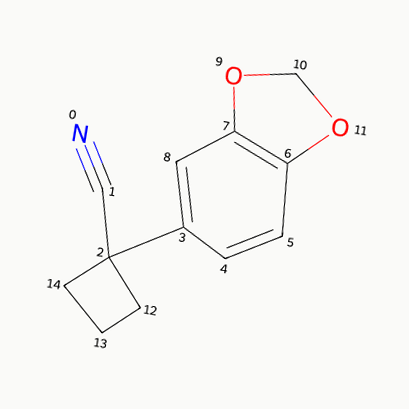 N#CC1(c2ccc3c(c2)OCO3)CCC1